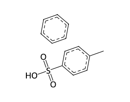 Cc1ccc(S(=O)(=O)O)cc1.c1ccccc1